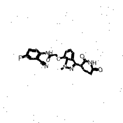 Cn1nc(C2CCC(=O)NC2=O)c2cccc(OCC(=O)Nc3ccc(F)cc3C#N)c21